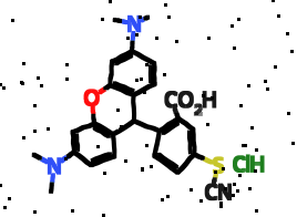 CN(C)c1ccc2c(c1)Oc1cc(N(C)C)ccc1C2c1ccc(SC#N)cc1C(=O)O.Cl